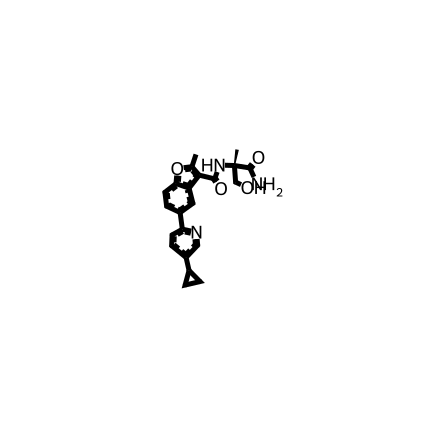 Cc1oc2ccc(-c3ccc(C4CC4)cn3)cc2c1C(=O)N[C@@](C)(CO)C(N)=O